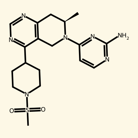 C[C@@H]1Cc2ncnc(C3CCN(S(C)(=O)=O)CC3)c2CN1c1ccnc(N)n1